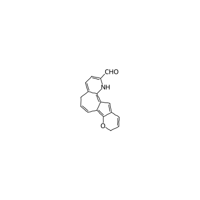 O=CC1=CC=C2CC=CC3=C4OCC=CC4=CC3=C2N1